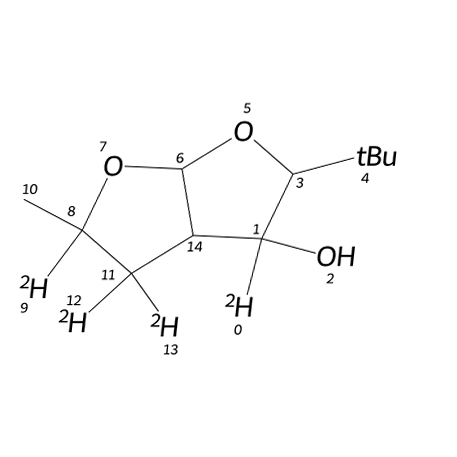 [2H]C1(O)C(C(C)(C)C)OC2OC([2H])(C)C([2H])([2H])C21